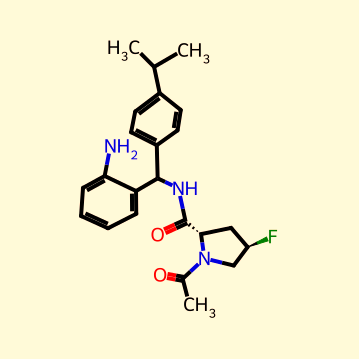 CC(=O)N1C[C@H](F)C[C@H]1C(=O)NC(c1ccc(C(C)C)cc1)c1ccccc1N